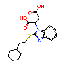 O=C(O)CC(C(=O)O)n1c(SCCC2CCCCC2)nc2ccccc21